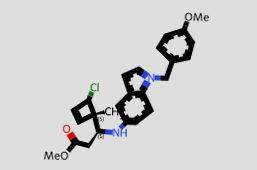 COC(=O)C[C@H](Nc1ccc2c(ccn2Cc2ccc(OC)cc2)c1)[C@]1(C)C=CC1Cl